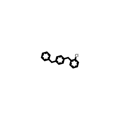 Clc1ccccc1Cc1ccc(Cc2ccccc2)cc1